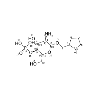 N[C@H]1[C@H](OCC2CCCN2)O[C@H](CO)[C@@H](OP(=O)(O)O)[C@@H]1O